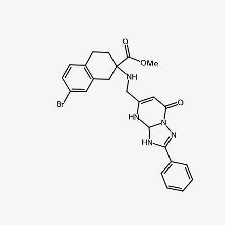 COC(=O)C1(NCC2=CC(=O)N3N=C(c4ccccc4)NC3N2)CCc2ccc(Br)cc2C1